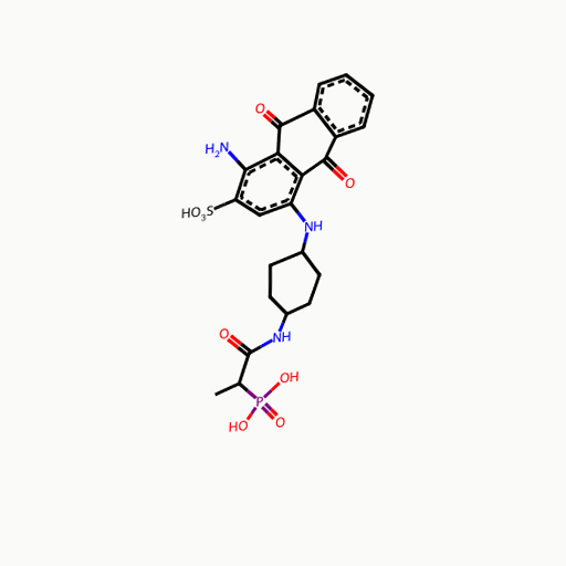 CC(C(=O)NC1CCC(Nc2cc(S(=O)(=O)O)c(N)c3c2C(=O)c2ccccc2C3=O)CC1)P(=O)(O)O